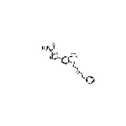 C[C@](N)(CO)c1ncc(-c2ccc(OCCOCCc3ccccc3)c(C(F)(F)F)c2)s1